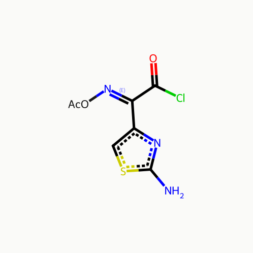 CC(=O)O/N=C(/C(=O)Cl)c1csc(N)n1